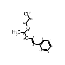 CC(OC=Cc1ccccc1)OCCCl